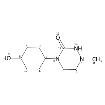 CN1CCN(C2CCC(O)CC2)C(=O)N1